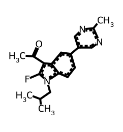 CC(=O)c1c(F)n(CC(C)C)c2ccc(-c3cnc(C)nc3)cc12